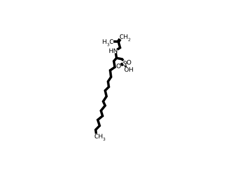 C=C(C)CNC(CCCCCCCCCCCCCCCC)CS(=O)(=O)O